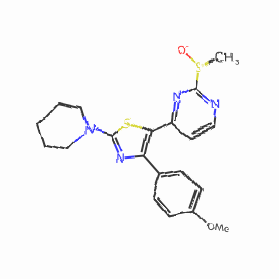 COc1ccc(-c2nc(N3CCCCC3)sc2-c2ccnc([S+](C)[O-])n2)cc1